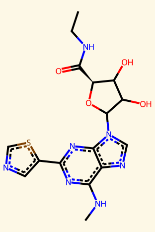 CCNC(=O)[C@@H]1OC(n2cnc3c(NC)nc(-c4cncs4)nc32)C(O)C1O